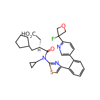 O=C(O)C[C@@H](CC1CCCC1)C(=O)N(c1nc(-c2ccccc2-c2ccc(C3(F)COC3)nc2)cs1)C1CC1